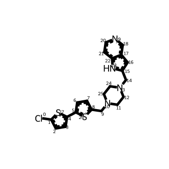 Clc1ccc(-c2ccc(CN3CCN(Cc4cc5cnccc5[nH]4)CC3)s2)s1